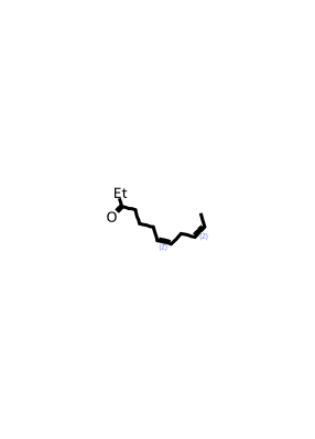 C/C=C\C/C=C\CCCC(=O)CC